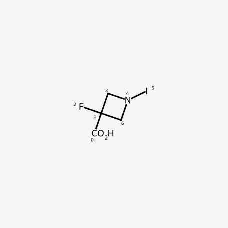 O=C(O)C1(F)CN(I)C1